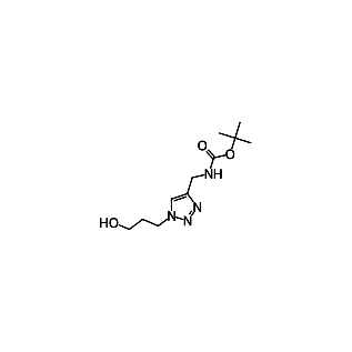 CC(C)(C)OC(=O)NCc1cn(CCCO)nn1